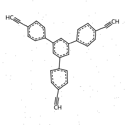 C#Cc1ccc(-c2cc(-c3ccc(C#C)cc3)cc(-c3ccc(C#C)cc3)c2)cc1